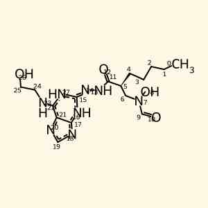 CCCCC[C@@H](CN(O)C=O)C(=O)NN=c1[nH]c2ncnc-2c(NCCO)[nH]1